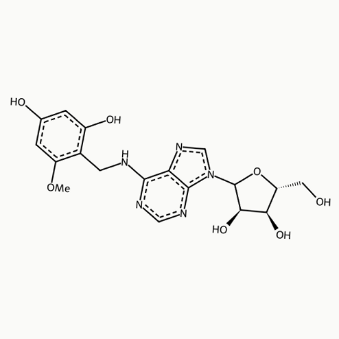 COc1cc(O)cc(O)c1CNc1ncnc2c1ncn2C1O[C@H](CO)[C@@H](O)[C@H]1O